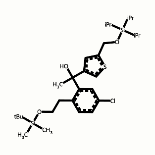 CC(C)[Si](OCc1cc(C(C)(O)c2cc(Cl)ccc2CCO[Si](C)(C)C(C)(C)C)cs1)(C(C)C)C(C)C